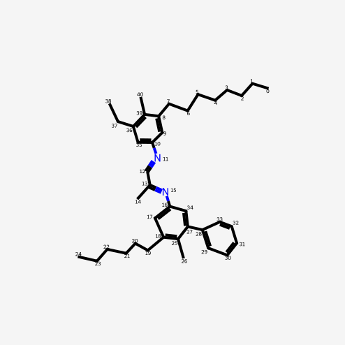 CCCCCCCCc1cc(N=CC(C)=Nc2cc(CCCCCC)c(C)c(-c3ccccc3)c2)cc(CC)c1C